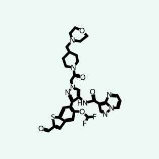 O=Cc1cc2cc(OC(F)F)c(-c3nn(CC(=O)N4CCC(CN5CCOCC5)CC4)cc3NC(=O)c3cnn4cccnc34)cc2s1